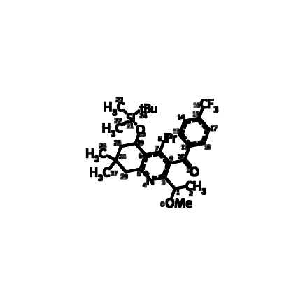 COC(C)c1nc2c(c(C(C)C)c1C(=O)c1ccc(C(F)(F)F)cc1)C(O[Si](C)(C)C(C)(C)C)CC(C)(C)C2